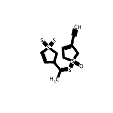 C#CC1=CCS(=O)(=S=C(C)C2C=CS(=S)(=S)C2)C1